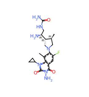 Cc1c(N2C[C@H]([C@@H](N)CNC(N)=O)[C@@H](C)C2)c(F)cc2c(=O)n(N)c(=O)n(C3CC3)c12